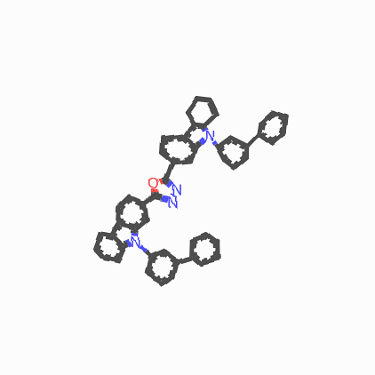 C1=Cc2c(c3ccc(-c4nnc(-c5ccc6c7ccccc7n(-c7cccc(-c8ccccc8)c7)c6c5)o4)cc3n2-c2cccc(-c3ccccc3)c2)CC1